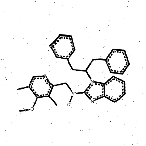 COc1c(C)cnc(C[S+]([O-])c2nc3ccccc3n2C(Cc2ccccc2)Cc2ccccc2)c1C